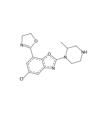 CC1CNCCN1c1nc2cc(Cl)cc(C3=NCCO3)c2o1